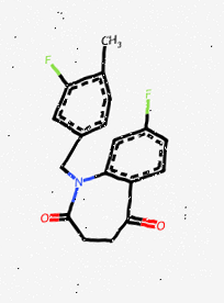 Cc1ccc(CN2C(=O)CCC(=O)c3ccc(F)cc32)cc1F